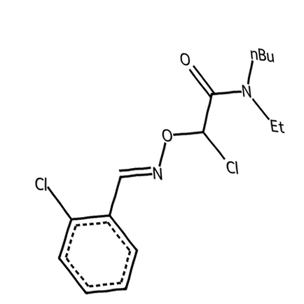 CCCCN(CC)C(=O)C(Cl)ON=Cc1ccccc1Cl